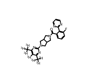 [2H]c1c(C([2H])([2H])[2H])nc(N2CC3CN(C(=O)c4cccc(F)c4-c4ncccn4)CC3C2)nc1C([2H])([2H])[2H]